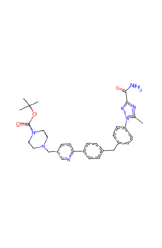 Cc1nc(C(N)=O)nn1-c1ccc(Cc2ccc(-c3ccc(CN4CCN(C(=O)OC(C)(C)C)CC4)cn3)cc2)cc1